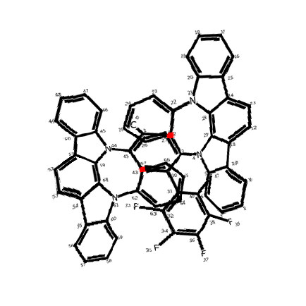 N#Cc1cc(-n2c3ccccc3c3ccc4c5ccccc5n(-c5ccccc5)c4c32)c(-c2c(F)c(F)c(F)c(F)c2F)cc1-n1c2ccccc2c2ccc3c4ccccc4n(-c4ccccc4)c3c21